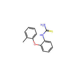 Cc1ccccc1Oc1ccccc1NC(N)=S